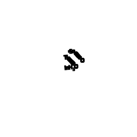 [InH3].[O]=[Sn].[O]=[Ti]